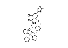 Cc1ncn(-c2cc(Cl)c(C(=O)NCC(C(=O)C(C#N)=P(c3ccccc3)(c3ccccc3)c3ccccc3)c3cccc(F)c3)c(Cl)c2)n1